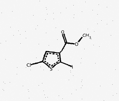 COC(=O)c1cc(Cl)sc1I